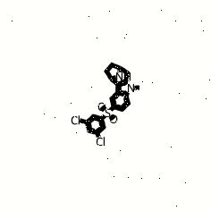 Cn1c2c(c3cc(S(=O)(=O)c4cc(Cl)cc(Cl)c4)ccc31)C1CCC(C2)N1